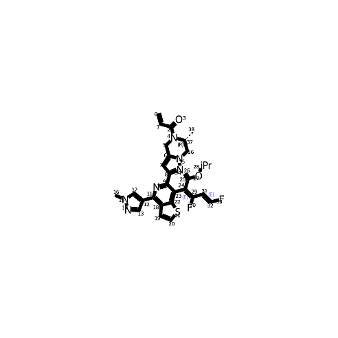 C=CC(=O)N1Cc2cc(-c3nc(-c4cnn(C)c4)c4ccsc4c3/C(C(=C)OC(C)C)=C(F)/C=C/F)nn2C[C@H]1C